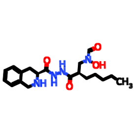 CCCCC[C@H](CN(O)C=O)C(=O)NNC(=O)[C@@H]1Cc2ccccc2CN1